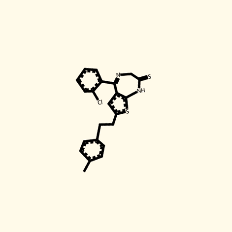 Cc1ccc(CCc2cc3c(s2)NC(=S)CN=C3c2ccccc2Cl)cc1